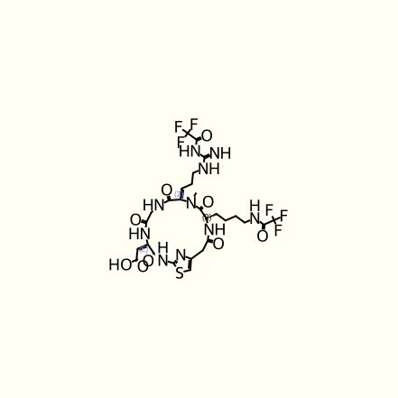 CN1C(=O)[C@@H](CCCCNC(=O)C(F)(F)F)NC(=O)Cc2csc(n2)NC(=O)/C(=C\C(=O)O)NC(=O)CNC(=O)/C1=C/CCNC(=N)NC(=O)C(F)(F)F